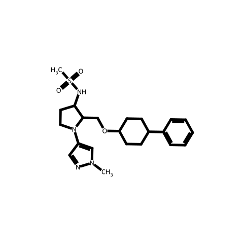 Cn1cc(N2CCC(NS(C)(=O)=O)C2COC2CCC(c3ccccc3)CC2)cn1